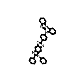 c1ccc(-c2nc3cc4oc(-c5ccc(-n6c7ccccc7n7c8ccccc8nc67)cc5)nc4cc3n2-c2ccccc2)cc1